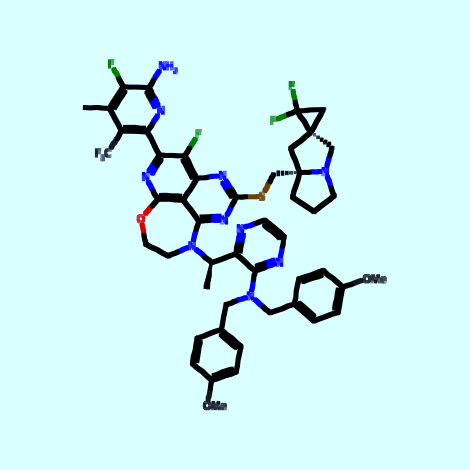 COc1ccc(CN(Cc2ccc(OC)cc2)c2nccnc2[C@@H](C)N2CCOc3nc(-c4nc(N)c(F)c(C)c4C(F)(F)F)c(F)c4nc(SC[C@@]56CCCN5C[C@]5(CC5(F)F)C6)nc2c34)cc1